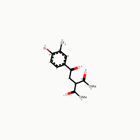 COC(=O)C(CC(=O)c1ccc(Br)c(C(F)(F)F)c1)C(=O)OC